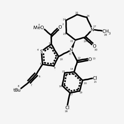 COC(=O)c1sc(C#CC(C)(C)C)cc1N(C(=O)c1ccc(Cl)cc1Cl)[C@H]1CCCCN(C)C1=O